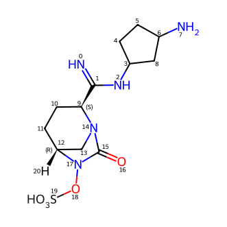 N=C(NC1CCC(N)C1)[C@@H]1CC[C@@H]2CN1C(=O)N2OS(=O)(=O)O